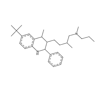 CCCN(C)CC(C)CCC1C(C)c2cc(C(C)(C)C)ccc2NC1c1ccccc1